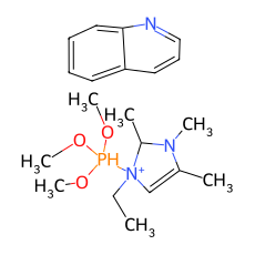 CC[N+]1([PH](OC)(OC)OC)C=C(C)N(C)C1C.c1ccc2ncccc2c1